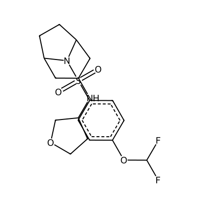 O=S(=O)(c1ccc(OC(F)F)cc1)N1C2CCC1CC(NC1CCOC1)C2